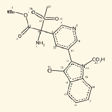 CC(C)(C)OC(=O)C(N)(c1cncc(-c2c(Cl)c3ccccc3n2C(=O)O)c1)S(C)(=O)=O